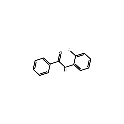 [O]c1ccccc1NC(=O)c1ccccc1